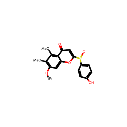 COc1c(OC(C)C)cc2oc([S+]([O-])c3ccc(O)cc3)cc(=O)c2c1OC